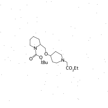 CCOC(=O)CN1CCC(OCC2CCCCN2C(=O)OC(C)(C)C)CC1